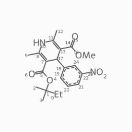 CCC(C)(C)OC(=O)C1=C(C)NC(C)=C(C(=O)OC)C1c1cccc([N+](=O)[O-])c1